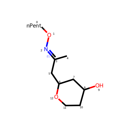 CCCCCO/N=C(\C)CC1CC(O)CCO1